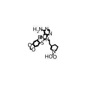 Nc1ncnc2c1nc(Sc1cc3c(cc1Br)OCO3)n2CCC1=CN(C(=O)O)CCC1